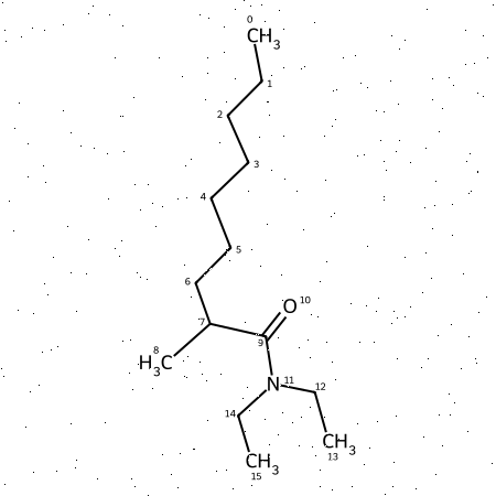 CCCCCCCC(C)C(=O)N(CC)CC